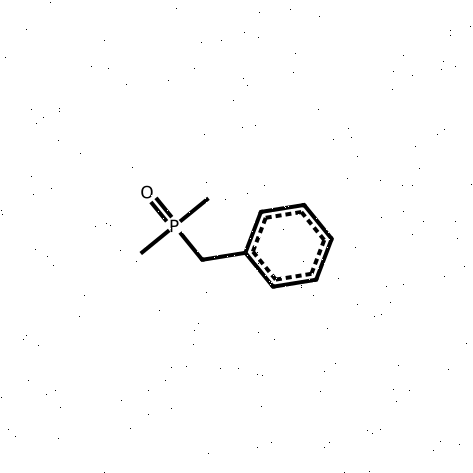 CP(C)(=O)Cc1ccccc1